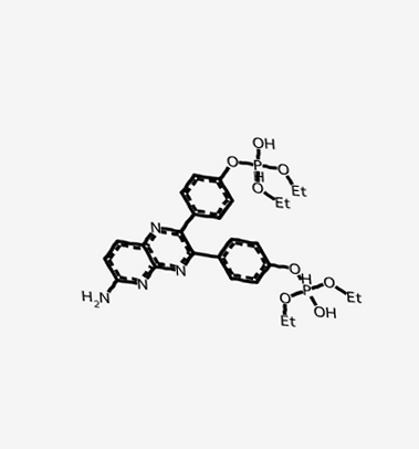 CCO[PH](O)(OCC)Oc1ccc(-c2nc3ccc(N)nc3nc2-c2ccc(O[PH](O)(OCC)OCC)cc2)cc1